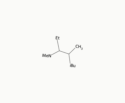 CCC(C)C(C)C(CC)NC